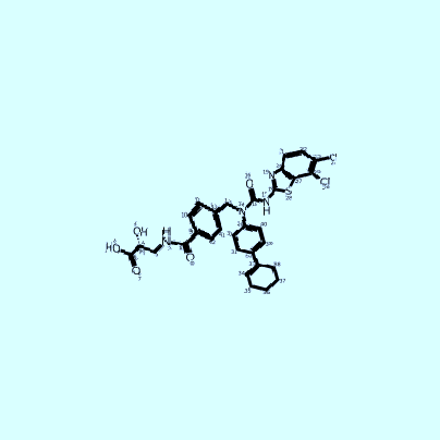 O=C(NC[C@@H](O)C(=O)O)c1ccc(CN(C(=O)Nc2nc3ccc(Cl)c(Cl)c3s2)c2ccc(C3=CCCCC3)cc2)cc1